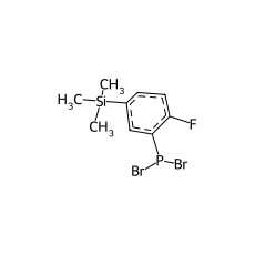 C[Si](C)(C)c1ccc(F)c(P(Br)Br)c1